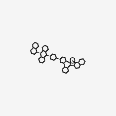 c1ccc2c(-c3c4ccccc4c(-c4ccc(-c5ccc6c(c5)c5ccccc5c5c7ccc8ccccc8c7oc65)cc4)c4ccccc34)cccc2c1